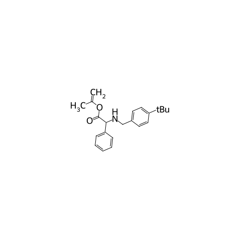 C=C(C)OC(=O)C(NCc1ccc(C(C)(C)C)cc1)c1ccccc1